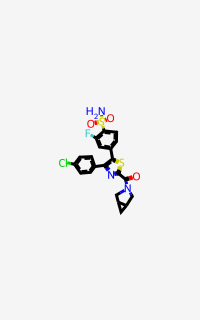 NS(=O)(=O)c1ccc(-c2sc(C(=O)N3CC4CC4C3)nc2-c2ccc(Cl)cc2)cc1F